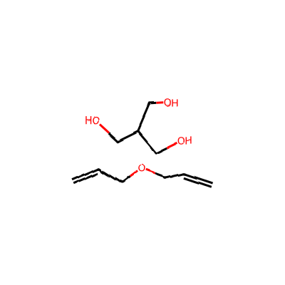 C=CCOCC=C.OCC(CO)CO